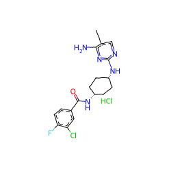 Cc1cnc(N[C@H]2CC[C@@H](NC(=O)c3ccc(F)c(Cl)c3)CC2)nc1N.Cl